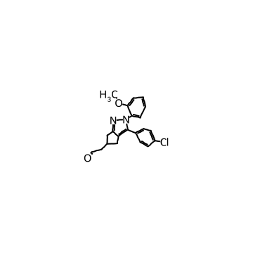 COc1ccccc1-n1nc2c(c1-c1ccc(Cl)cc1)CC(CC=O)C2